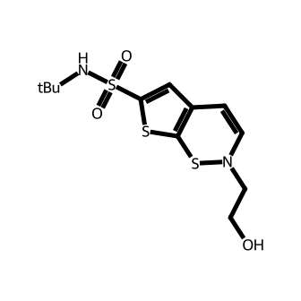 CC(C)(C)NS(=O)(=O)c1cc2c(s1)SN(CCO)C=C2